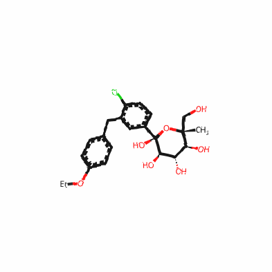 CCOc1ccc(Cc2cc([C@]3(O)O[C@](C)(CO)[C@@H](O)[C@H](O)[C@H]3O)ccc2Cl)cc1